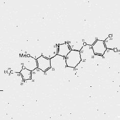 COc1cc(-c2nnc3n2CCCC3Oc2ccc(Cl)c(Cl)c2)ccc1-c1cnc(C)o1